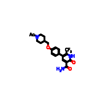 CC(=O)N1CCC(COc2ccc(-c3cc(C(N)=O)c(=O)[nH]c3C(F)(F)F)cc2)CC1